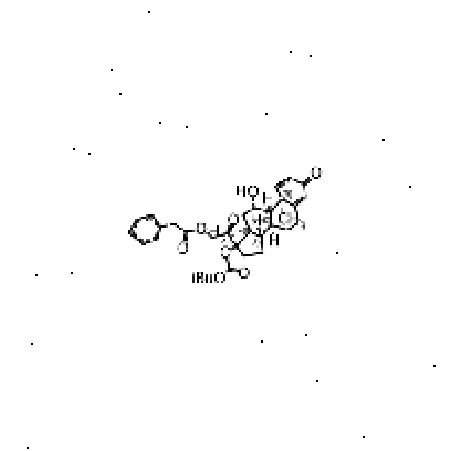 CC(C)COC(=O)O[C@]1(C(=O)COC(=O)Cc2ccccc2)CC[C@H]2[C@@H]3CCC4=CC(=O)C=C[C@]4(C)[C@H]3C(O)C[C@@]21C